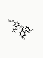 COc1ccc(C2=NC(c3ccc(Cl)cc3)C(c3ccc(Cl)cc3)N2)c(OCC(F)(F)F)c1